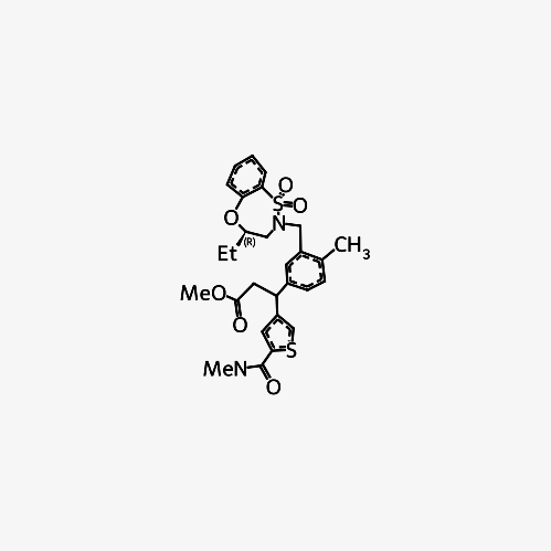 CC[C@@H]1CN(Cc2cc(C(CC(=O)OC)c3csc(C(=O)NC)c3)ccc2C)S(=O)(=O)c2ccccc2O1